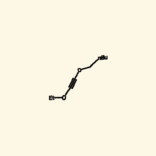 CCCCCOC#COCC